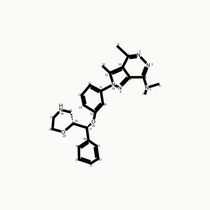 Cc1nnc(N(C)C)c2nn(-c3cccc(O[C@@H](c4ccccc4)[C@H]4CNCCO4)c3)c(C)c12